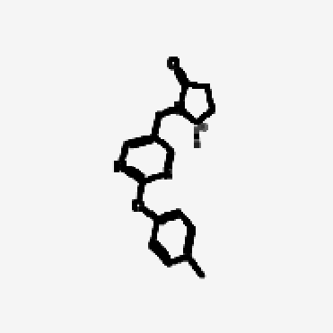 Cc1ccc(Oc2ncc(CN3C(=O)CC[C@@H]3C)cn2)cc1